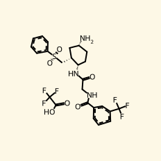 N[C@@H]1CC[C@H](NC(=O)CNC(=O)c2cccc(C(F)(F)F)c2)[C@H](CS(=O)(=O)c2ccccc2)C1.O=C(O)C(F)(F)F